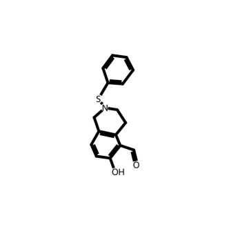 O=Cc1c(O)ccc2c1CCN(Sc1ccccc1)C2